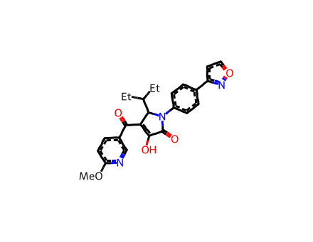 CCC(CC)C1C(C(=O)c2ccc(OC)nc2)=C(O)C(=O)N1c1ccc(-c2ccon2)cc1